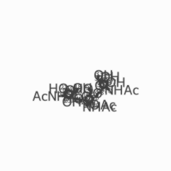 CC(=O)NC1[C@H](COC[C@@H]2C(CO)O[C@@H](COC[C@@H]3C(CO)O[C@@H](O)C(NC(C)=O)[C@H]3O)C(NC(C)=O)[C@H]2OC(C)=O)OC(CO)[C@@H](O)[C@@H]1O